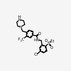 CCS(=O)(=O)c1ccc(Cl)cc1CNC(=O)c1ccc(CN2CCNCC2)c(C(F)(F)F)c1